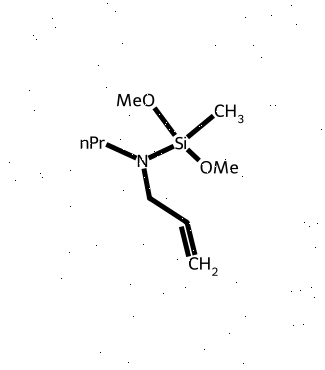 C=CCN(CCC)[Si](C)(OC)OC